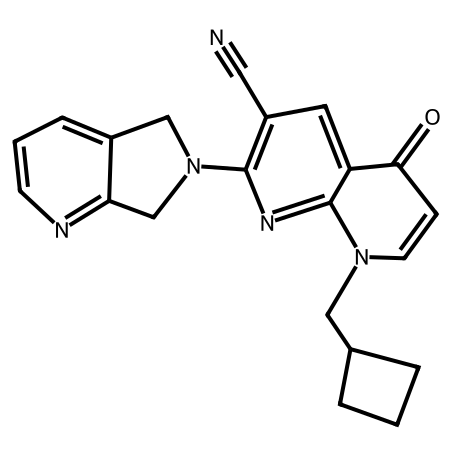 N#Cc1cc2c(=O)ccn(CC3CCC3)c2nc1N1Cc2cccnc2C1